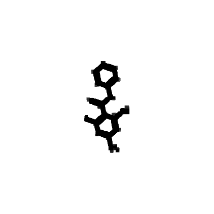 Bc1cc(C)c(C(=O)Oc2ccccc2)c(O)c1